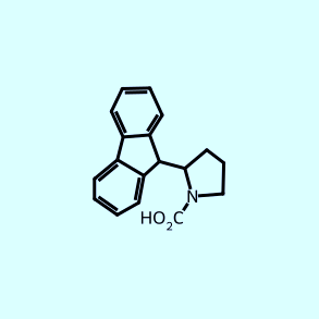 O=C(O)N1CCCC1C1c2ccccc2-c2ccccc21